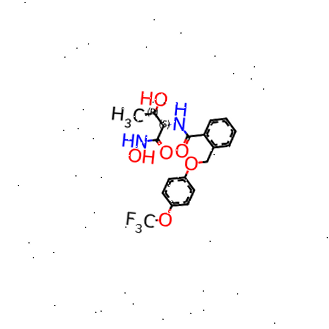 C[C@@H](O)[C@H](NC(=O)c1ccccc1COc1ccc(OC(F)(F)F)cc1)C(=O)NO